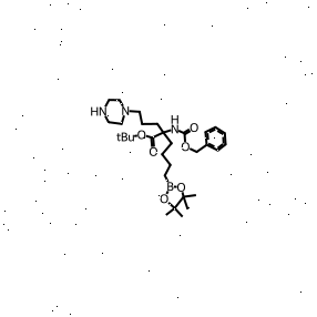 CC(C)(C)OC(=O)C(CCCCB1OC(C)(C)C(C)(C)O1)(CCCN1CCNCC1)NC(=O)OCc1ccccc1